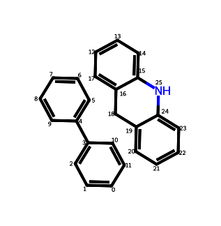 c1ccc(-c2ccccc2)cc1.c1ccc2c(c1)Cc1ccccc1N2